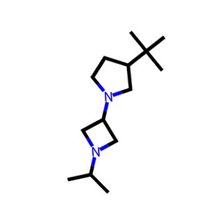 CC(C)N1CC(N2CCC(C(C)(C)C)C2)C1